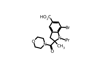 CC(C)N1c2c(Br)cc(C(=O)O)cc2CC1(C)C(=O)N1CCOCC1